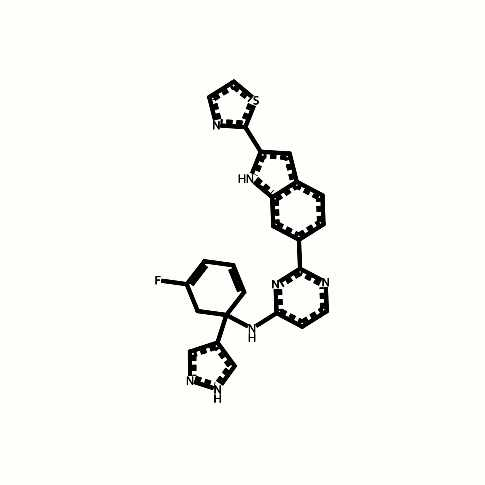 FC1=CC=CC(Nc2ccnc(-c3ccc4cc(-c5nccs5)[nH]c4c3)n2)(c2cn[nH]c2)C1